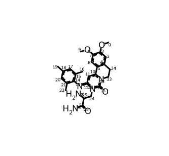 COc1cc2c(cc1OC)-c1cc(=Nc3c(C)cc(C)cc3C)n(CC(N)C(N)=O)c(=O)n1CC2